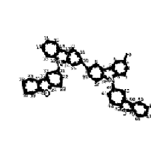 Cc1ccc2c(c1)c1cc(-c3ccc4c5ccccc5n(-c5ccc6oc7ccccc7c6c5)c4c3)ccc1n2-c1ccc2sc3ccccc3c2c1